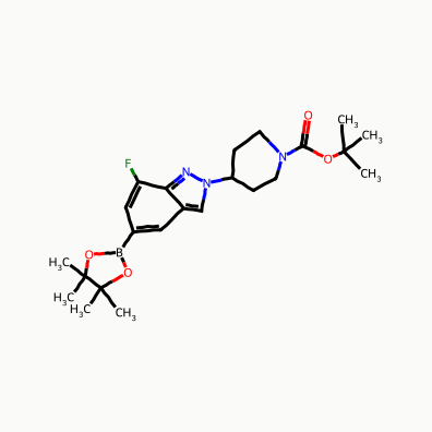 CC(C)(C)OC(=O)N1CCC(n2cc3cc(B4OC(C)(C)C(C)(C)O4)cc(F)c3n2)CC1